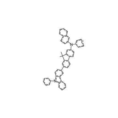 CC1(C)c2cc(-c3ccc4c(c3)c3ccccc3n4-c3ccccc3)ccc2-c2ccc(N(c3ccccc3)c3ccc4ccccc4c3)cc21